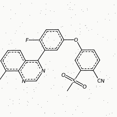 CS(=O)(=O)c1cc(Oc2ccc(F)c(-c3ncnc4c(Cl)cccc34)c2)ccc1C#N